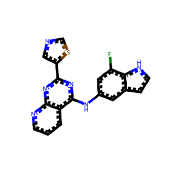 Fc1cc(Nc2nc(-c3cncs3)nc3ncccc23)cc2cc[nH]c12